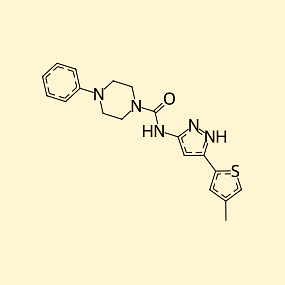 Cc1csc(-c2cc(NC(=O)N3CCN(c4ccccc4)CC3)n[nH]2)c1